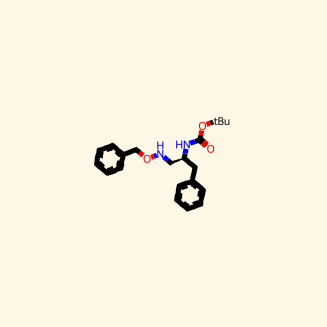 CC(C)(C)OC(=O)N[C@H](CNOCc1ccccc1)Cc1ccccc1